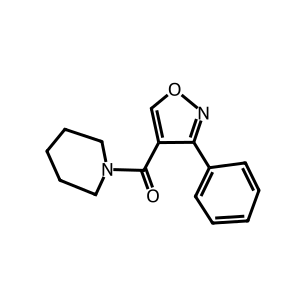 O=C(c1conc1-c1ccccc1)N1CCCCC1